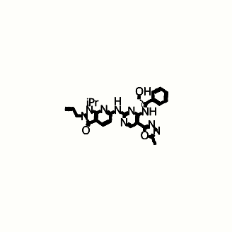 C=CCn1c(=O)c2ccc(Nc3ncc(-c4nnc(C)o4)c(N[C@H](CO)c4ccccc4)n3)nc2n1C(C)C